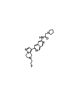 O=C(CN1CCCC1)Nc1cc2cc(-c3cnn4c3CN(CCF)CC4)ncc2cn1